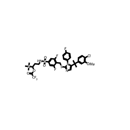 COc1cc(C(C)(C)c2cnc(SCc3c(F)cc(S(=O)(=O)NCCC(OC(=O)C(F)(F)F)[N+](C)(C)C)cc3F)n2-c2ccc(F)cc2)ccc1Cl